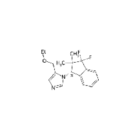 CCOCc1cncn1[C@H]1c2ccccc2C(F)(F)C1(C)C